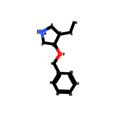 CCC1CNCC1OCc1ccccc1